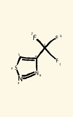 FC(F)(F)c1csnn1